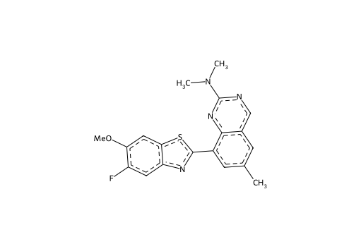 COc1cc2sc(-c3cc(C)cc4cnc(N(C)C)nc34)nc2cc1F